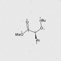 CCCCO[C@H](C(=O)OC)C(C)C